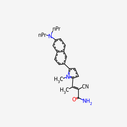 CCCN(CCC)c1ccc2cc(-c3ccc(/C(C)=C(\C#N)C(N)=O)n3C)ccc2c1